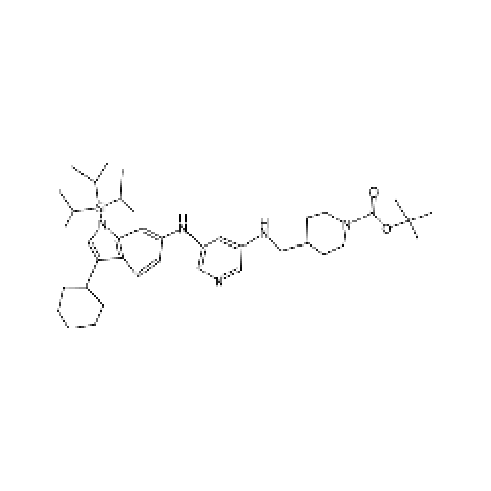 CC(C)[Si](C(C)C)(C(C)C)n1cc(C2CCCCC2)c2ccc(Nc3cncc(NCC4CCN(C(=O)OC(C)(C)C)CC4)c3)cc21